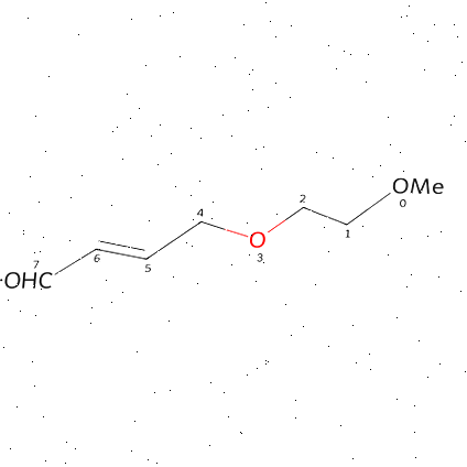 COCCOCC=C[C]=O